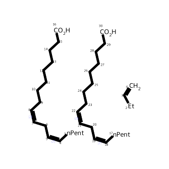 C=CCC.CCCCC/C=C\C/C=C\CCCCCCCC(=O)O.CCCCC/C=C\C/C=C\CCCCCCCC(=O)O